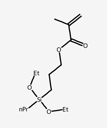 C=C(C)C(=O)OCCC[Si](CCC)(OCC)OCC